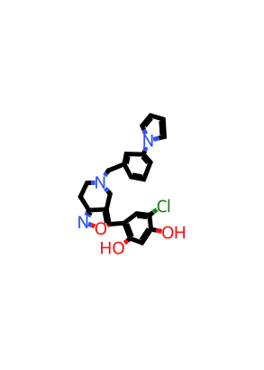 Oc1cc(O)c(-c2onc3c2CN(Cc2cccc(-n4cccc4)c2)CC3)cc1Cl